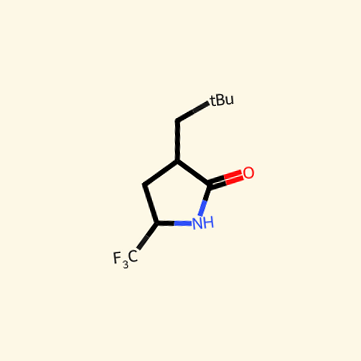 CC(C)(C)CC1CC(C(F)(F)F)NC1=O